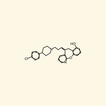 Oc1cccc2c1C/C(=C/CCN1CCC(c3ccc(Cl)cc3)CC1)c1cccnc1O2